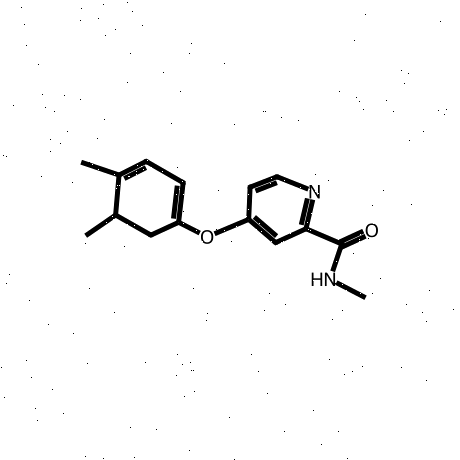 CNC(=O)c1cc(OC2=CC=C(C)C(C)C2)ccn1